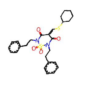 O=C1C(=CSC2CCCCC2)C(=O)N(CCc2ccccc2)S(=O)(=O)N1CCc1ccccc1